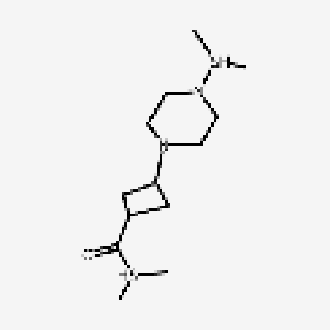 C[SH](C)C(=O)C1CC(N2CCN([SH](C)C)CC2)C1